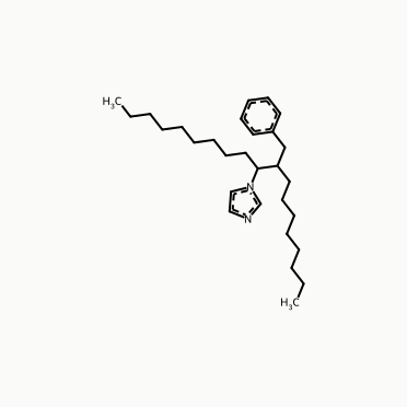 CCCCCCCCCC(C(CCCCCCCC)Cc1ccccc1)n1ccnc1